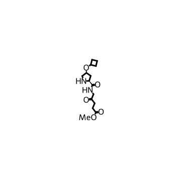 COC(=O)CCC(=O)CNC(=O)[C@@H]1C[C@H](OC2CCC2)CN1